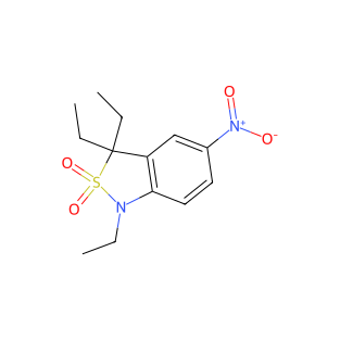 CCN1c2ccc([N+](=O)[O-])cc2C(CC)(CC)S1(=O)=O